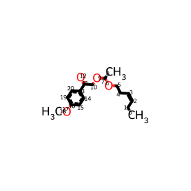 CC/C=C\CCOC(C)OCC(=O)c1ccc(OC)cc1